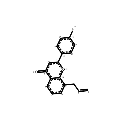 C=CCc1cccc2c(=O)cc(-c3ccc(F)cc3)oc12